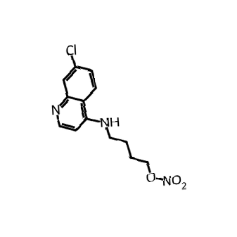 O=[N+]([O-])OCCCCNc1ccnc2cc(Cl)ccc12